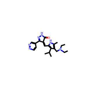 CCN(CC)Cc1c(C)[nH]c(C=C2C(=O)NN=C2c2ccnnc2)c1C(C)C